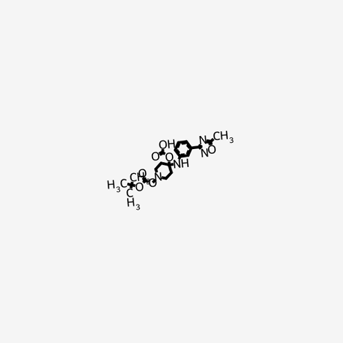 Cc1nc(-c2cccc(NC3(OC(=O)O)CCN(OC(=O)OC(C)(C)C)CC3)c2)no1